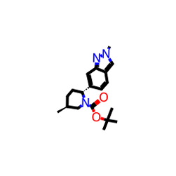 C[C@H]1CC[C@H](c2ccc3cn(C)nc3c2)N(C(=O)OC(C)(C)C)C1